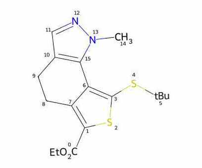 CCOC(=O)c1sc(SC(C)(C)C)c2c1CCc1cnn(C)c1-2